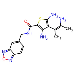 C/C(N)=C(\C)c1c(N)sc(C(=O)NCc2ccc3nonc3c2)c1N